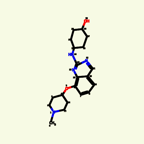 CN1CCC(Oc2cccc3cnc(NC4CCC(O)CC4)nc23)CC1